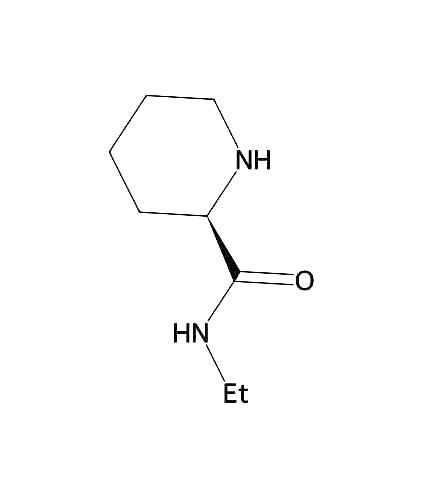 CCNC(=O)[C@H]1CCCCN1